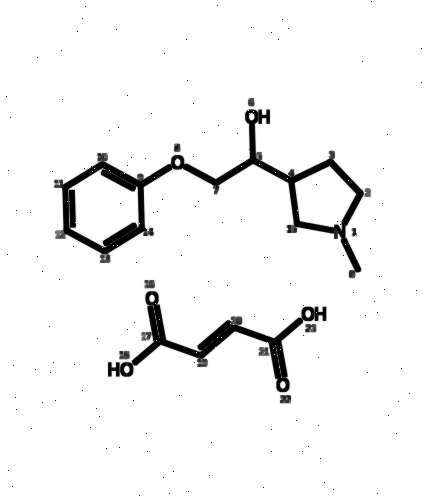 CN1CCC(C(O)COc2ccccc2)C1.O=C(O)C=CC(=O)O